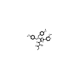 CCC(=O)C(Br)C(=O)c1oc(-c2ccnc(OC)c2)nc1N(Cc1ccc(OC)cc1)Cc1ccc(OC)cc1